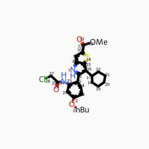 CCCCOc1ccc(-c2[nH]c3cc(C(=O)OC)sc3c2C2CCCCC2)c(NC(=O)CCl)c1